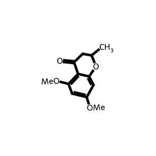 COc1cc(OC)c2c(c1)OC(C)CC2=O